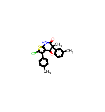 Cc1ccc(-c2c(Cl)sc3c2C(=O)C(C)(c2cccc(C)c2)C(=O)N3)cc1